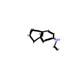 CCNc1ccc2c(c1)CCC2